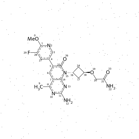 COc1ncc(-c2cc3c(C)nc(N)nc3n([C@H]3C[C@H](OCC(N)=O)C3)c2=O)cc1F